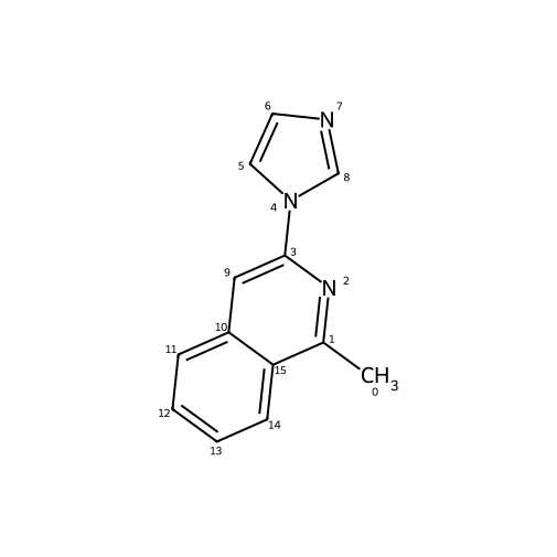 Cc1nc(-n2ccnc2)cc2ccccc12